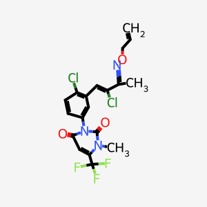 C=CCON=C(C)C(Cl)=Cc1cc(-n2c(=O)cc(C(F)(F)F)n(C)c2=O)ccc1Cl